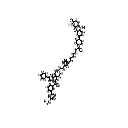 O=C1CCC(Nc2ccc(C3CCN(C(=O)CCCCCCn4cc(CCN5CCC(CNC(=O)c6cccc(-c7noc(C(F)(F)F)n7)c6)(c6nc(-c7ccccc7)cs6)CC5)nn4)CC3)cc2)C(=O)N1